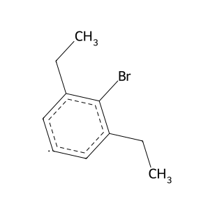 CCc1c[c]cc(CC)c1Br